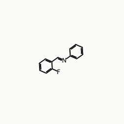 Fc1ccccc1C=Nc1ccccc1